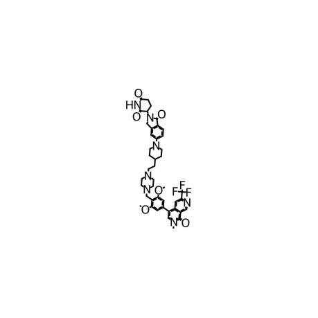 COc1cc(-c2cn(C)c(=O)c3cnc(C(F)(F)F)cc23)cc(OC)c1CN1CCN(CCC2CCN(c3ccc4c(c3)CN(C3CCC(=O)NC3=O)C4=O)CC2)CC1